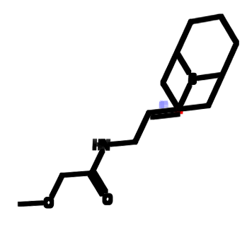 COCC(=O)NC/C=C/B1C2CCCC1CCC2